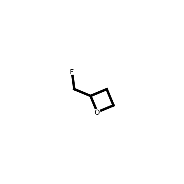 F[CH]C1CCO1